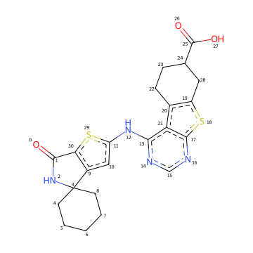 O=C1NC2(CCCCC2)c2cc(Nc3ncnc4sc5c(c34)CCC(C(=O)O)C5)sc21